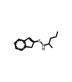 CCCC(C)NSC1=Cc2ccccc2C1